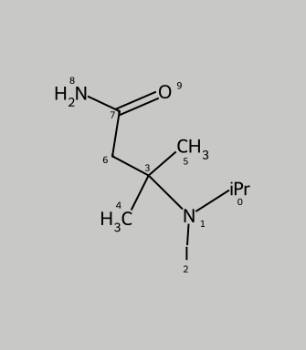 CC(C)N(I)C(C)(C)CC(N)=O